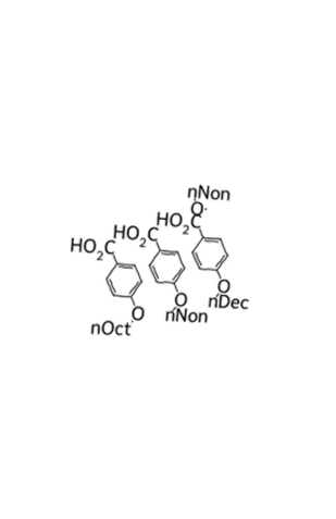 CCCCCCCCCCOc1ccc(C(=O)O)cc1.CCCCCCCCCOc1ccc(C(=O)O)cc1.CCCCCCCCC[O].CCCCCCCCOc1ccc(C(=O)O)cc1